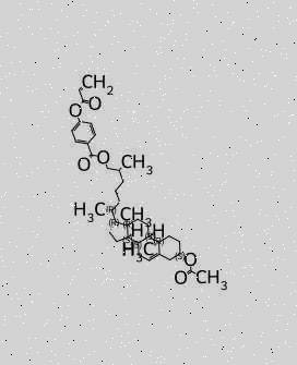 C=CC(=O)Oc1ccc(C(=O)OCC(C)CCC[C@@H](C)[C@H]2CC[C@H]3[C@@H]4CC=C5C[C@@H](OC(C)=O)CC[C@]5(C)[C@H]4CC[C@]23C)cc1